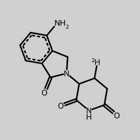 [2H]C1CC(=O)NC(=O)C1N1Cc2c(N)cccc2C1=O